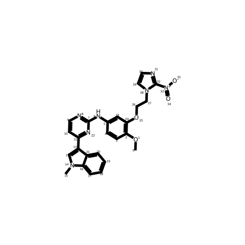 COc1ccc(Nc2nccc(-c3cn(C)c4ccccc34)n2)cc1OCCn1ccnc1[N+](=O)[O-]